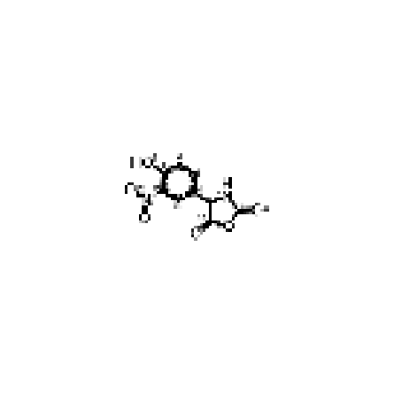 O=C1NC(c2ccc(O)c([N+](=O)[O-])c2)C(=O)O1